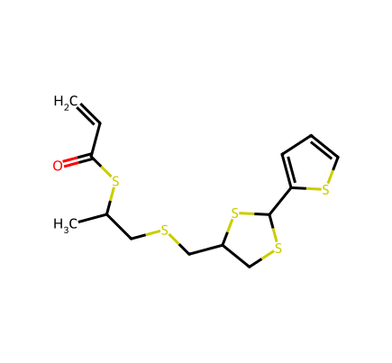 C=CC(=O)SC(C)CSCC1CSC(c2cccs2)S1